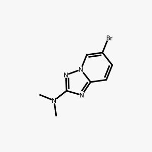 CN(C)c1nc2ccc(Br)cn2n1